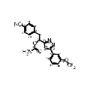 N#Cc1ccc(CC(OC(N)=O)c2nnc(-c3cccc(OC(F)(F)F)c3)s2)cc1